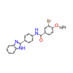 CCCOc1ccc(C(=O)Nc2ccc(-c3nc4ccccc4[nH]3)cc2)cc1Br